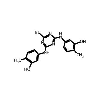 CCc1nc(Nc2ccc(C)c(O)c2)nc(Nc2ccc(C)c(O)c2)n1